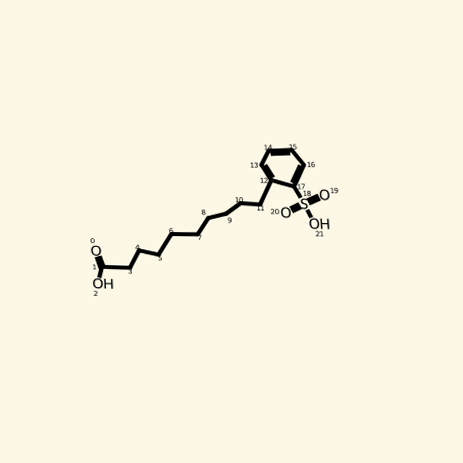 O=C(O)CCCCCCCCCc1ccccc1S(=O)(=O)O